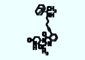 Cc1nc2cccc(C#CCCCNC(C)C34CC5CC(CC(C5)C3)C4)c2c(=O)n1C1CCC(=O)NC1=O